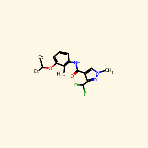 CCC(CC)Oc1cccc(NC(=O)c2cn(C)nc2C(F)F)c1C